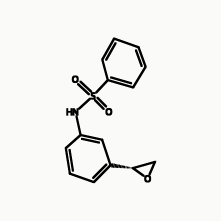 O=S(=O)(Nc1cccc([C@@H]2CO2)c1)c1ccccc1